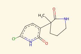 CC1(c2ccc(Cl)[nH]c2=O)CCCNC1=O